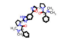 CN(C)[C@@H](C(=O)N1CCC[C@H]1c1nc2ccc(-c3ncc([C@@H]4CCCN4C(=O)[C@@H](c4ccccc4)N(C)C)o3)cc2[nH]1)c1ccccc1